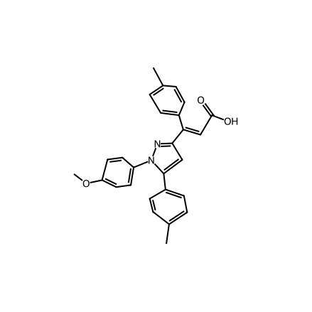 COc1ccc(-n2nc(C(=CC(=O)O)c3ccc(C)cc3)cc2-c2ccc(C)cc2)cc1